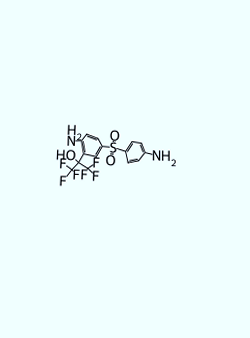 Nc1ccc(S(=O)(=O)c2ccc(N)c(C(O)(C(F)(F)F)C(F)(F)F)c2)cc1